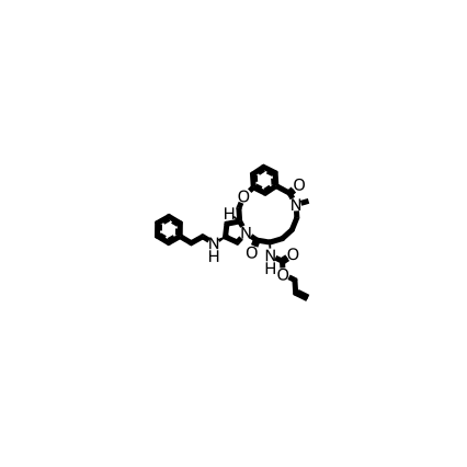 C=CCOC(=O)N[C@H]1CCCN(C)C(=O)c2cccc(c2)OC[C@@H]2C[C@H](NCCc3ccccc3)CN2C1=O